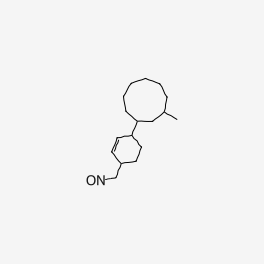 CC1CCCCCCC(C2C=CC(CN=O)CC2)C1